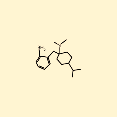 Bc1ccccc1CC1(N(C)C)CCC(C(C)C)CC1